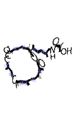 CO[C@@H]1/C=C/C=C/[C@H](C)[C@@H](/C(C)=C/C=C(\C)CNC(=O)[C@@H](C)CO)OC(=O)/C(C)=C/[C@H](C)/C=C/C(C)=C/[C@@H](C)C/C=C/C(C)=C\CC1